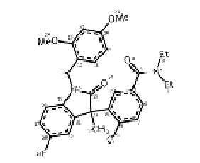 CCN(CC)C(=O)c1ccc(Cl)c(C2(C)C(=O)N(Cc3ccc(OC)cc3OC)c3ccc(F)cc32)c1